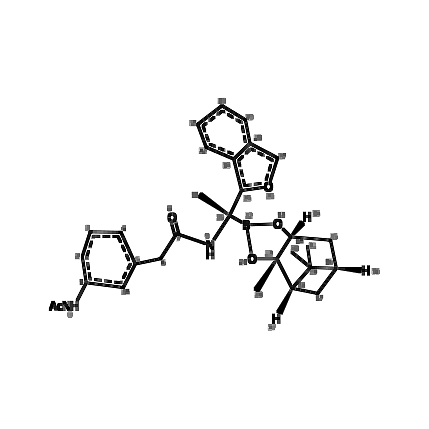 CC(=O)Nc1cccc(CC(=O)N[C@@](C)(B2O[C@@H]3C[C@@H]4C[C@@H](C4(C)C)[C@]3(C)O2)c2occ3ccccc23)c1